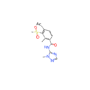 CC(=O)c1ccc(C(=O)Nc2ncnn2C)c(C)c1S(C)(=O)=O